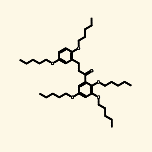 CCCCCOc1ccc(OCCCCC)c(CCC(=O)c2cc(OCCCCC)cc(OCCCCC)c2OCCCCC)c1